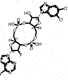 Nc1ncnc2c1ncn2[C@@H]1O[C@@H]2COP(=O)(O)OC3C(O)[C@H](n4cnc5cc(Cl)c(Cl)cc54)O[C@@H]3COP(=O)(O)OC2C1F